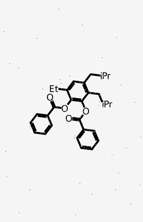 CCc1cc(CC(C)C)c(CC(C)C)c(OC(=O)c2ccccc2)c1OC(=O)c1ccccc1